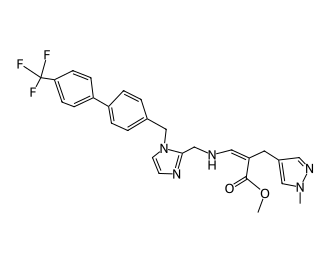 COC(=O)C(=CNCc1nccn1Cc1ccc(-c2ccc(C(F)(F)F)cc2)cc1)Cc1cnn(C)c1